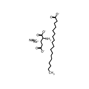 CCCCCCCCCCCCCCCCCC(=O)[O-].NC(CCC(=O)[O-])C(=O)[O-].[Na+].[Na+].[Na+]